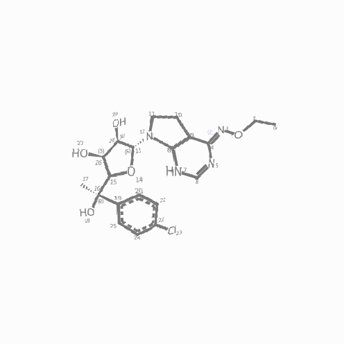 CCO/N=C1\N=CNC2C1CCN2[C@@H]1OC([C@](C)(O)c2ccc(Cl)cc2)[C@@H](O)[C@H]1O